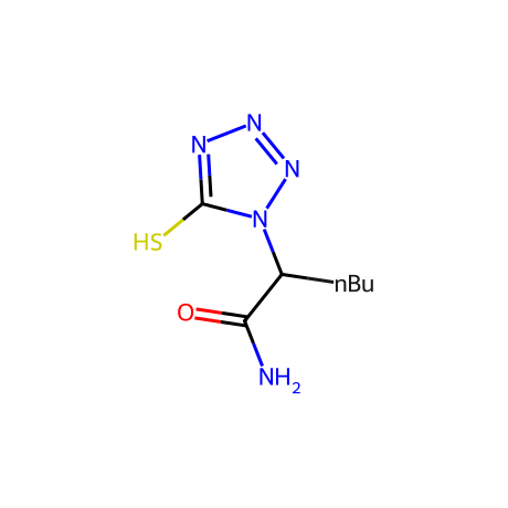 CCCCC(C(N)=O)n1nnnc1S